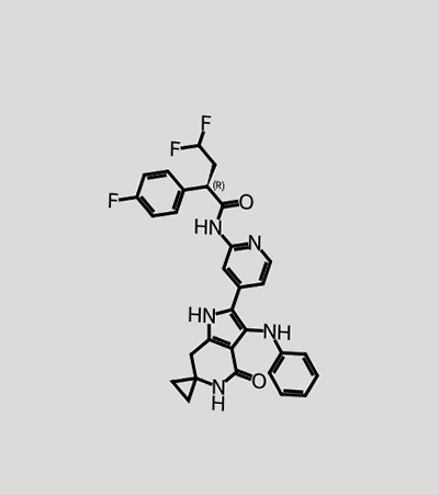 O=C1NC2(CC2)Cc2[nH]c(-c3ccnc(NC(=O)[C@H](CC(F)F)c4ccc(F)cc4)c3)c(Nc3ccccc3)c21